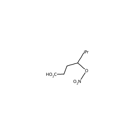 CC(C)C(CCC(=O)O)O[N+](=O)[O-]